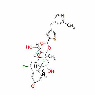 Cc1cc(Cc2csc([C@@H]3O[C@@H]4C[C@H]5[C@@H]6C[C@H](F)C7=CC(=O)C=C[C@]7(C)[C@@]6(F)[C@@H](O)C[C@]5(C)[C@]4(C(=O)CO)O3)c2)ccn1